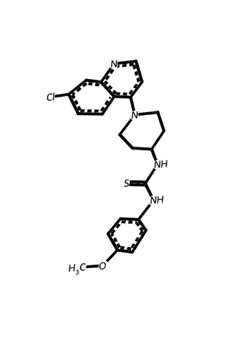 COc1ccc(NC(=S)NC2CCN(c3ccnc4cc(Cl)ccc34)CC2)cc1